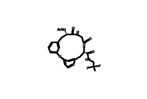 CC(=O)N[C@H]1Cc2cccc(c2)Oc2cccc(c2)C[C@@H](C(=O)NCC(C)(F)F)NC(=O)CNC1=O